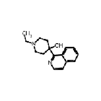 CCN1CCC(O)(c2nccc3ccccc23)CC1